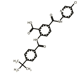 CC(C)(C)c1ccc(C(=O)Nc2ccc(C(=O)Nc3ccc(Cl)cn3)cc2C(=O)O)cc1